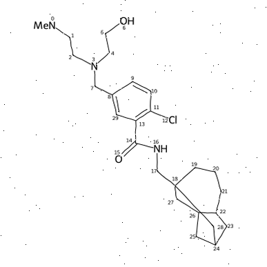 CNCCN(CCO)Cc1ccc(Cl)c(C(=O)NCC23CCCC4CC(CC4C2)C3)c1